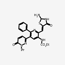 CCOC(=O)Nc1cc(-c2ccc(=O)n(C(C)C)n2)c(-c2ccccc2)nc1C=C1SC(N)NC1=O